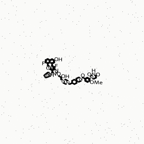 C#Cc1c(F)ccc2cc(O)cc(-c3ncc4c(N5CC6CCC(C5)N6)nc(OC[C@H](O)CN5CCN(CC6CCC7(CC6)CCN(C(=O)c6ccc(OC)c(N8CCC(=O)NC8=O)c6)CC7)CC5)nc4c3F)c12